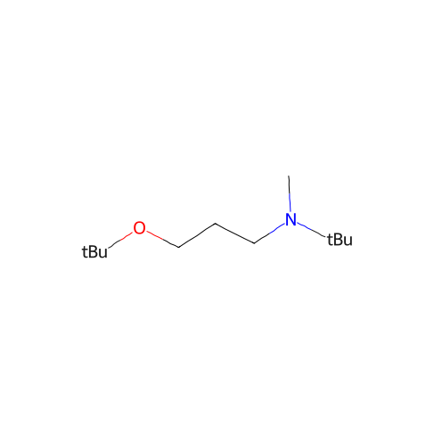 CN(CCCOC(C)(C)C)C(C)(C)C